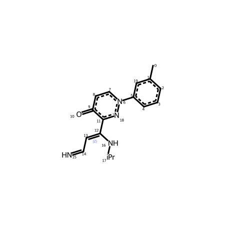 Cc1cccc(-n2ccc(=O)c(/C(=C/C=N)NC(C)C)n2)c1